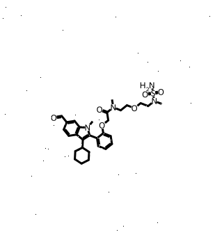 CN(CCOCCN(C)S(N)(=O)=O)C(=O)COc1ccccc1-c1c(C2CCCCC2)c2ccc(C=O)cc2n1C